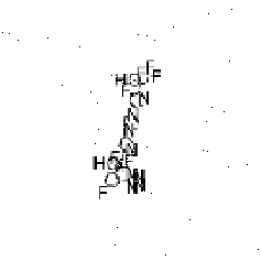 OC(CC(F)(F)F)c1ncc(N2CCN(c3ccc(C(F)(F)[C@]4(O)Cn5nnnc5-c5cc(F)ccc54)nc3)CC2)cc1F